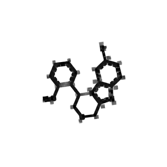 COc1ccccc1C1COCc2nc3ccc(Br)cc3n21